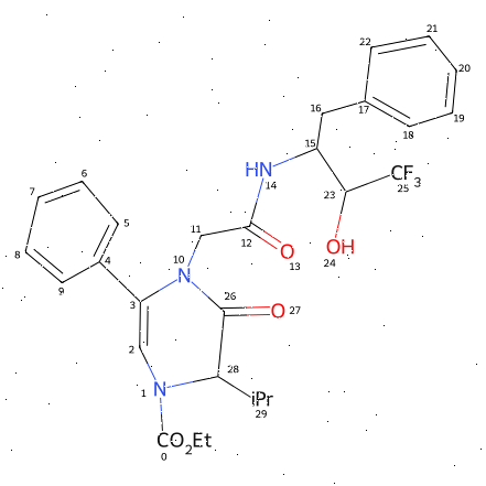 CCOC(=O)N1C=C(c2ccccc2)N(CC(=O)NC(Cc2ccccc2)C(O)C(F)(F)F)C(=O)C1C(C)C